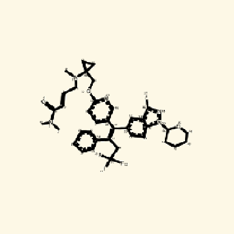 CN(C)C(=O)C=CCN(C)C1(COc2ccc(/C(=C(/CC(F)(F)F)c3ccccc3)c3ccc4c(c3)c(F)nn4C3CCCCO3)cn2)CC1